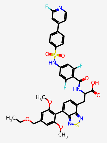 CCOCc1cc(OC)c(-c2ccc(CC(NC(=O)c3c(F)cc(NS(=O)(=O)c4ccc(-c5ccnc(F)c5)cc4)cc3F)C(=O)O)c3nsnc23)c(OC)c1